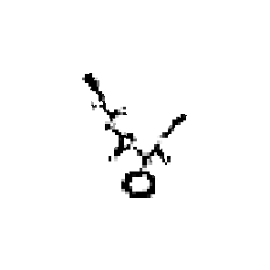 C#CCNC(=O)NC1CN([C@@H](C(=O)OCC=C)c2ccccc2)C1=O